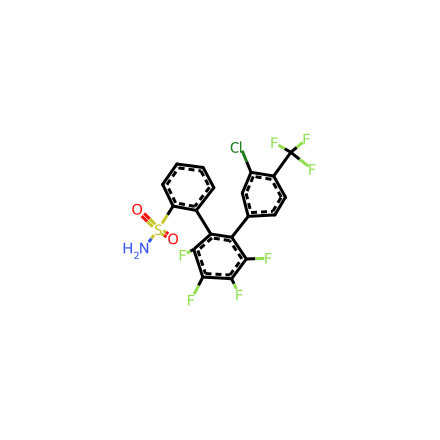 NS(=O)(=O)c1ccccc1-c1c(F)c(F)c(F)c(F)c1-c1ccc(C(F)(F)F)c(Cl)c1